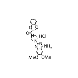 COc1cc2nc(N3CCN(C(=O)C4COc5ccccc5O4)CC3)nc(N)c2cc1OC.Cl